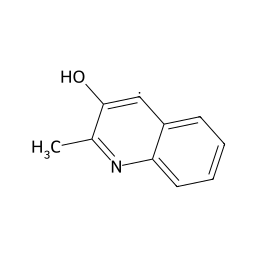 Cc1nc2ccccc2[c]c1O